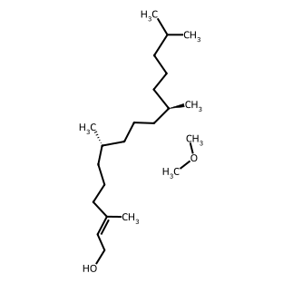 C/C(=C\CO)CCC[C@H](C)CCC[C@H](C)CCCC(C)C.COC